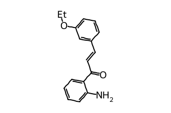 CCOc1cccc(/C=C/C(=O)c2ccccc2N)c1